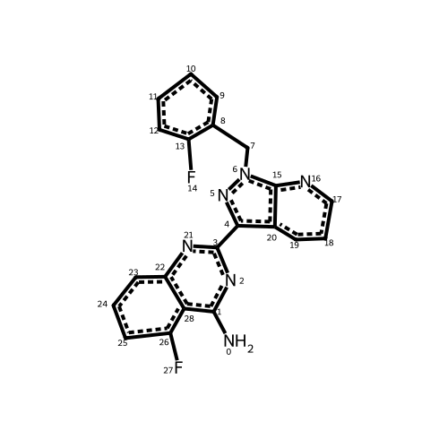 Nc1nc(-c2nn(Cc3ccccc3F)c3ncccc23)nc2cccc(F)c12